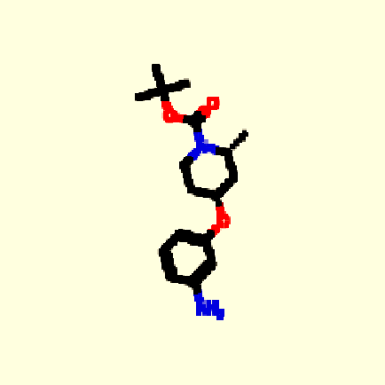 C[C@@H]1C[C@@H](Oc2cccc(N)c2)CCN1C(=O)OC(C)(C)C